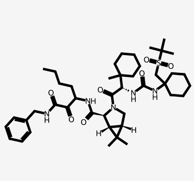 CCCCC(NC(=O)[C@@H]1[C@@H]2[C@H](CN1C(=O)[C@@H](NC(=O)NC1(CS(=O)(=O)C(C)(C)C)CCCCC1)C1(C)CCCCC1)C2(C)C)C(=O)C(=O)NCc1ccccc1